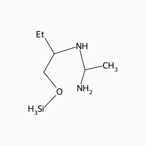 CCC(CO[SiH3])NC(C)N